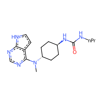 CCCNC(=O)N[C@H]1CC[C@H](N(C)c2ncnc3[nH]ccc23)CC1